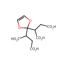 O=C(O)CC(C(=O)O)C1(C(CC(=O)O)C(=O)O)OC=CO1